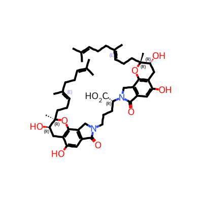 CC(C)=CCC/C(C)=C/CC[C@@]1(C)Oc2c(c(O)cc3c2CN(CCC[C@H](C(=O)O)N2Cc4c(cc(O)c5c4O[C@](C)(CC/C=C(\C)CCC=C(C)C)[C@H](O)C5)C2=O)C3=O)C[C@H]1O